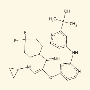 CC(C)(O)c1cc(Nc2cc(O/C(=C/NC3CC3)C(=N)C3CCC(F)(F)CC3)ccn2)ccn1